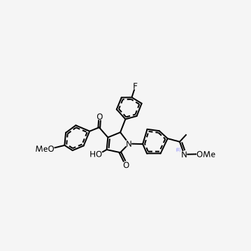 CO/N=C(\C)c1ccc(N2C(=O)C(O)=C(C(=O)c3ccc(OC)cc3)C2c2ccc(F)cc2)cc1